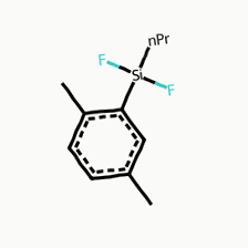 CCC[Si](F)(F)c1cc(C)ccc1C